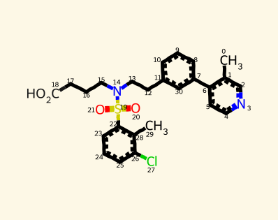 Cc1cnccc1-c1cccc(CCN(CCCC(=O)O)S(=O)(=O)c2cccc(Cl)c2C)c1